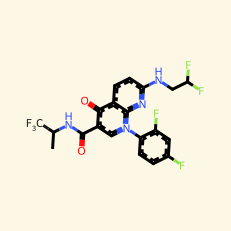 CC(NC(=O)c1cn(-c2ccc(F)cc2F)c2nc(NCC(F)F)ccc2c1=O)C(F)(F)F